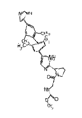 COC(=O)NCC(=O)N1CCCC1c1ncc(-c2cc(C)c(-c3c(C)cc(-c4cnc[nH]4)cc3C)c(C)c2)[nH]1